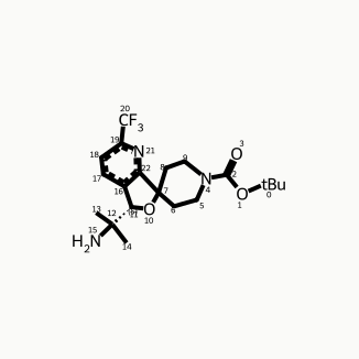 CC(C)(C)OC(=O)N1CCC2(CC1)O[C@H](C(C)(C)N)c1ccc(C(F)(F)F)nc12